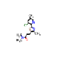 Cc1nc(-c2ncc(C(F)(F)F)cc2Cl)sc1C=CC(=O)N(C)C